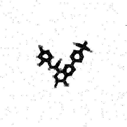 CC(=O)N1c2ccc(-c3ccc(S(C)(=O)=O)cc3)cc2N(C(=O)Oc2ccc(F)cc2F)C[C@@H]1C